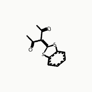 CC(=O)C(C(C)=O)=C1Sc2ccccc2S1